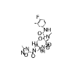 Cc1noc(C(=O)N2C[C@H]3COc4c(cn(C)c4C(=O)Nc4ccc(F)c(C)c4)S(=O)(=O)N[C@H]3C2)n1